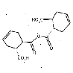 O=C(O)[C@H]1CC=CC[C@@H]1C(=O)OC(=O)[C@@H]1CC=CC[C@H]1C(=O)O